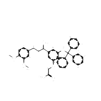 COc1ccc(CCC(O)c2cc(OCC(=O)O)cc(OC(c3ccccc3)(c3ccccc3)c3ccccc3)c2)cc1OC